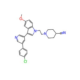 COc1ccc2c(c1)c(-c1cncc(-c3ccc(Cl)cc3)c1)cn2CCN1CCC(C#N)CC1